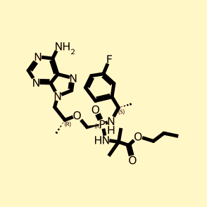 CCCOC(=O)C(C)(C)N[P@@](=O)(CO[C@H](C)Cn1cnc2c(N)ncnc21)N[C@@H](C)c1cccc(F)c1